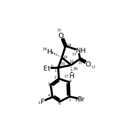 CCC1(c2cc(F)cc(Br)c2)[C@@H]2C(=O)NC(=O)[C@@H]21